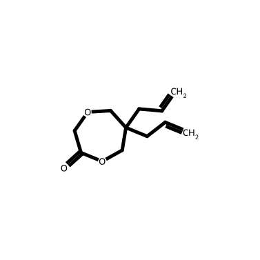 C=CCC1(CC=C)COCC(=O)OC1